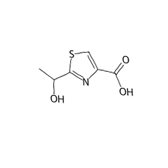 CC(O)c1nc(C(=O)O)cs1